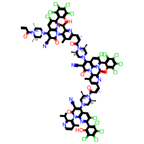 C=CC(=O)N1[C@H](C)CN(c2c(C#N)c(=O)n(-c3c(C)cc(/C=C\C(=O)N4[C@H](C)CN(c5c(C#N)c(=O)n(-c6c(C)cc(/C=C\C(=O)N7[C@H](C)CN(c8c(C#N)c(=O)n(-c9c(C)ccnc9C(C)C)c9nc(-c%10c(O)c(Cl)c(Cl)c(Cl)c%10Cl)c(Cl)cc89)C[C@@H]7C)nc6C(C)C)c6nc(-c7c(O)c(Cl)c(Cl)c(Cl)c7Cl)c(Cl)cc56)C[C@@H]4C)nc3C(C)C)c3nc(-c4c(O)c(Cl)c(Cl)c(Cl)c4Cl)c(Cl)cc23)C[C@@H]1C